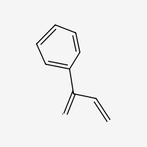 [CH]=C(C=C)c1ccccc1